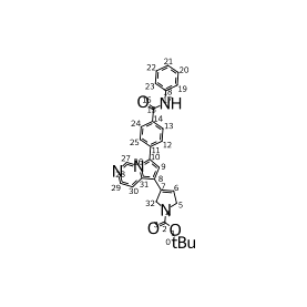 CC(C)(C)OC(=O)N1CC=C(c2cc(-c3ccc(C(=O)Nc4ccccc4)cc3)n3cnccc23)C1